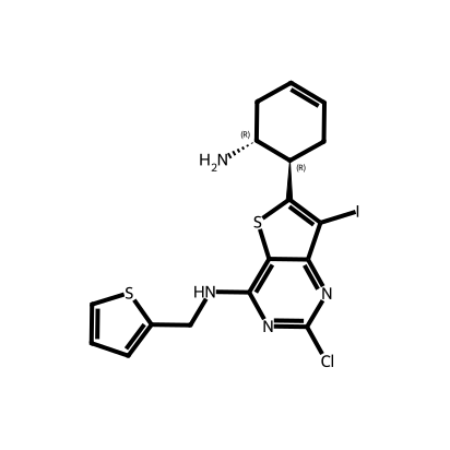 N[C@@H]1CC=CC[C@H]1c1sc2c(NCc3cccs3)nc(Cl)nc2c1I